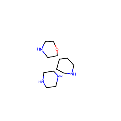 C1CCNCC1.C1CNCCN1.C1COCCN1